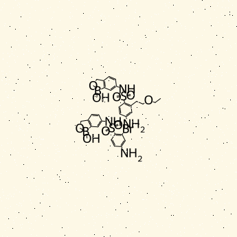 CCOCCc1cc(N)ccc1S(=O)(=O)Nc1ccc2c(c1)B(O)OC2.Nc1ccc(S(=O)(=O)Nc2ccc3c(c2)B(O)OC3)c(Br)c1